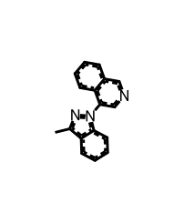 Cc1nn(-c2cncc3ccccc23)c2ccccc12